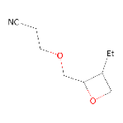 CCC1COC1COCCC#N